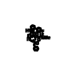 CC[C@H](NC)C(=O)N[C@H]1CN(C(=O)Cc2ccccc2)CC[C@H]2CC[C@@H](c3nc4c(-c5ccc(F)cc5)cccc4[nH]3)N2C1=O